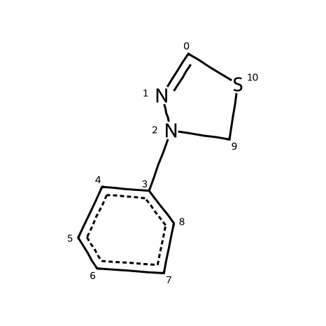 C1=NN(c2ccccc2)CS1